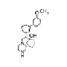 COc1cccc(-c2cccc(C(CN3CCNCC3)C3(O)CCCCC3)c2)c1